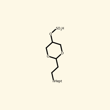 CCCCCCCCCC1OCC(OS(=O)(=O)O)CO1